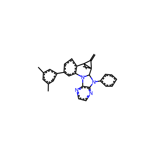 C=C1C2(C)c3ccc(-c4cc(C)cc(C)c4)cc3N3c4nccnc4N(c4ccccc4)C3C12C